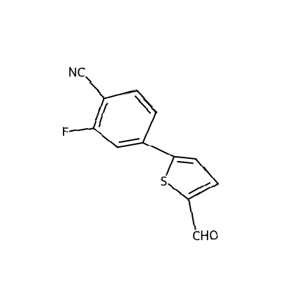 N#Cc1ccc(-c2ccc(C=O)s2)cc1F